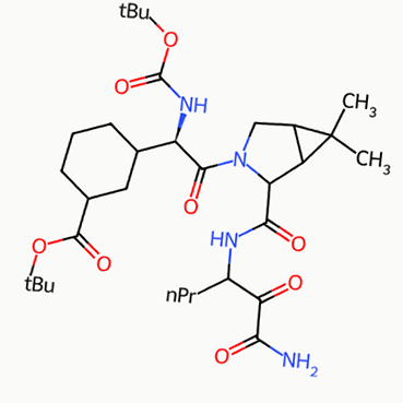 CCCC(NC(=O)C1C2C(CN1C(=O)[C@H](NC(=O)OC(C)(C)C)C1CCCC(C(=O)OC(C)(C)C)C1)C2(C)C)C(=O)C(N)=O